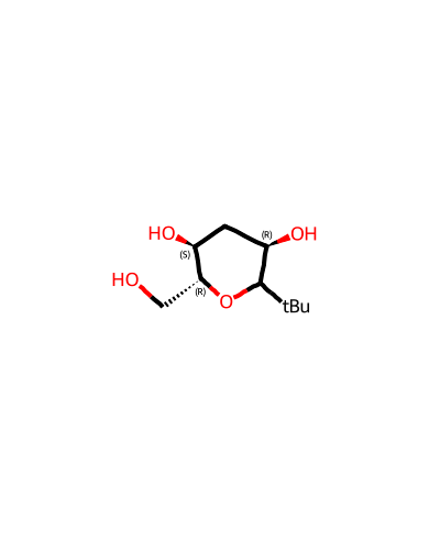 CC(C)(C)C1O[C@H](CO)[C@@H](O)C[C@H]1O